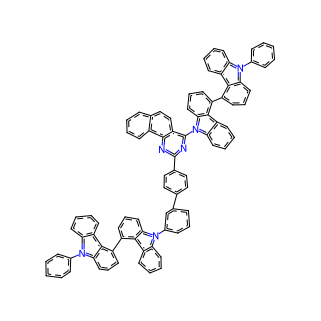 c1ccc(-n2c3ccccc3c3c(-c4cccc5c4c4ccccc4n5-c4cccc(-c5ccc(-c6nc(-n7c8ccccc8c8c(-c9cccc%10c9c9ccccc9n%10-c9ccccc9)cccc87)c7ccc8ccccc8c7n6)cc5)c4)cccc32)cc1